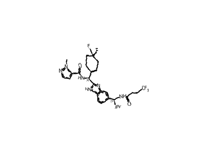 CC(C)[C@H](NC(=O)CCC(F)(F)F)c1ccc2[nH]c([C@@H](NC(=O)c3ccnn3C)C3CCC(F)(F)CC3)nc2c1